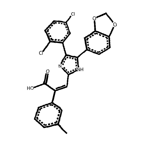 Cc1cccc(C(=Cc2nc(-c3cc(Cl)ccc3Cl)c(-c3ccc4c(c3)OCO4)[nH]2)C(=O)O)c1